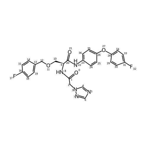 O=C(Cn1cncn1)N[C@@H](COCc1ccc(F)cc1)C(=O)Nc1ccc(Oc2ccc(F)cc2)cc1